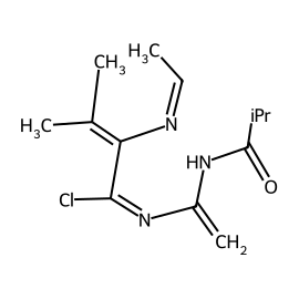 C=C(/N=C(/Cl)C(/N=C\C)=C(C)C)NC(=O)C(C)C